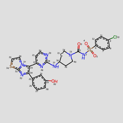 O=C(NS(=O)(=O)c1ccc(Cl)cc1)N1CCC(Nc2nccc(-c3c(-c4cccc(O)c4)nc4sccn34)n2)CC1